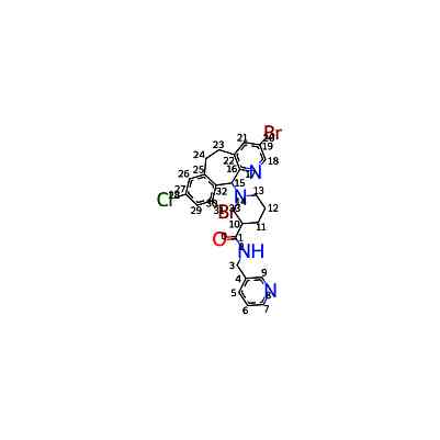 O=C(NCc1cccnc1)C1CCCN(C2c3ncc(Br)cc3CCc3cc(Cl)cc(Br)c32)C1